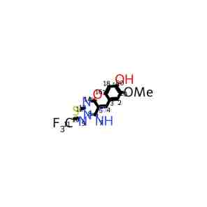 COc1cc(/C=C2/C(=N)N3N=C(C(F)(F)F)SC3=NC2=O)ccc1O